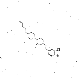 C=CCCCC1CCC(C2CCC(CCc3ccc(F)c(Cl)c3)CC2)CC1